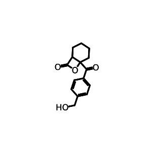 O=C1OC2(C(=O)c3ccc(CO)cc3)CCCCC12